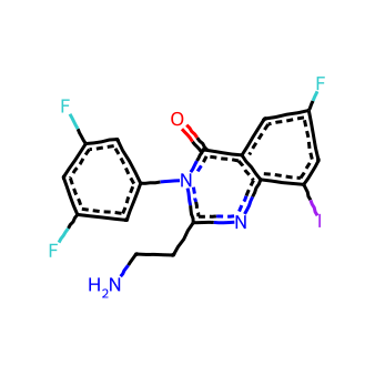 NCCc1nc2c(I)cc(F)cc2c(=O)n1-c1cc(F)cc(F)c1